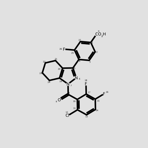 O=C(O)c1ccc(-c2nn(C(=O)c3c(Cl)ccc(F)c3F)c3c2CCCC3)c(F)c1